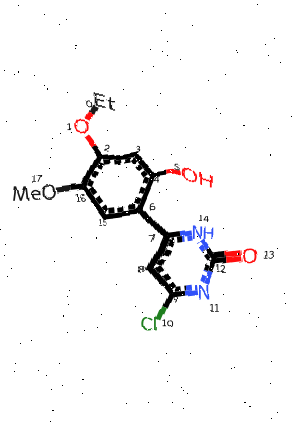 CCOc1cc(O)c(-c2cc(Cl)nc(=O)[nH]2)cc1OC